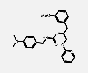 COc1cccc(CC(COc2ccccn2)OC(=O)NCc2ccc(N(C)C)cc2)c1